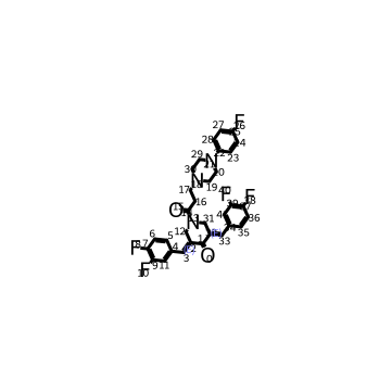 O=C1/C(=C/c2ccc(F)c(F)c2)CN(C(=O)CCN2CCN(c3ccc(F)cc3)CC2)C/C1=C\c1ccc(F)c(F)c1